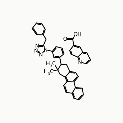 CC1(C)Cc2c(ccc3c2ccc2ccccc23)CC1c1cccc(-n2nnnc2Cc2ccccc2)c1.O=C(O)c1ccc2ncccc2c1